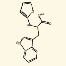 O=C(O)C(Cc1c[nH]c2ccccc12)Nc1ccco1